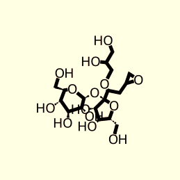 OCC(O)COC(CC1CO1)[C@@]1(O[C@H]2O[C@H](CO)[C@@H](O)[C@H](O)[C@H]2O)O[C@H](CO)[C@@H](O)[C@@H]1O